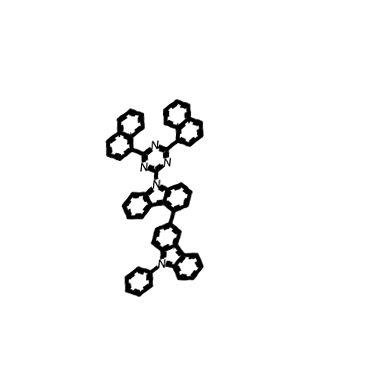 c1ccc(-n2c3ccccc3c3cc(-c4cccc5c4c4ccccc4n5-c4nc(-c5cccc6ccccc56)nc(-c5cccc6ccccc56)n4)ccc32)cc1